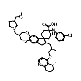 COC[C@@H]1CCN(CC2COc3cc4c(cc3OC2)C2(CCC(Nc3cccc(Cl)c3)(C(=O)O)CC2)[C@@H](C[C@@H](C)COc2ccnc3c2[C@H](C)CCC3)C4)C1